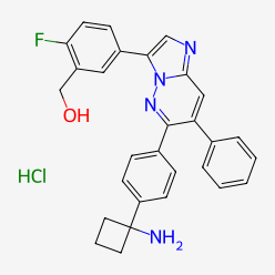 Cl.NC1(c2ccc(-c3nn4c(-c5ccc(F)c(CO)c5)cnc4cc3-c3ccccc3)cc2)CCC1